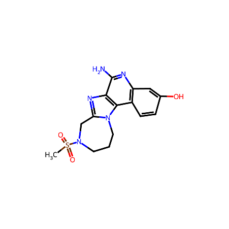 CS(=O)(=O)N1CCCn2c(nc3c(N)nc4cc(O)ccc4c32)C1